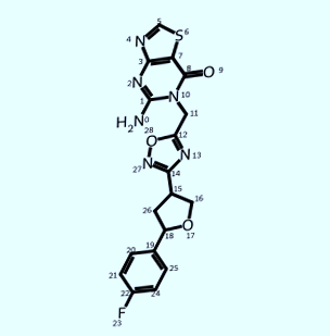 Nc1nc2ncsc2c(=O)n1Cc1nc(C2COC(c3ccc(F)cc3)C2)no1